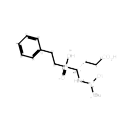 CC(C)(C)[S+]([O-])N[C@@H](CCC(=O)O)P(=O)(O)CCc1ccccc1